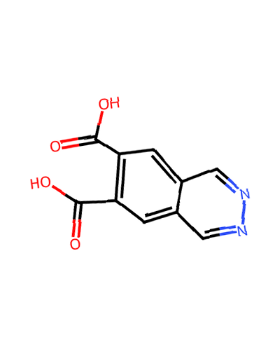 O=C(O)c1cc2cnncc2cc1C(=O)O